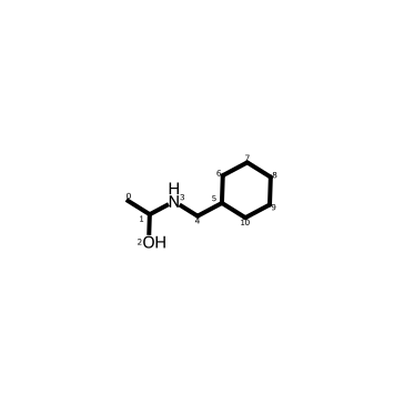 CC(O)NCC1CCCCC1